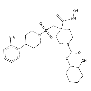 Cc1ccccc1C1CCN(S(=O)(=O)CC2(C(=O)NO)CCN(C(=O)OC3CCCCC3O)CC2)CC1